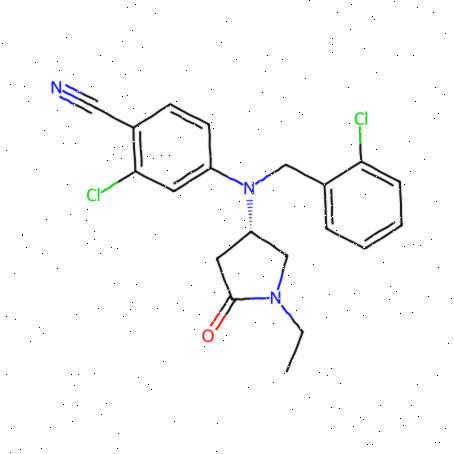 CCN1C[C@@H](N(Cc2ccccc2Cl)c2ccc(C#N)c(Cl)c2)CC1=O